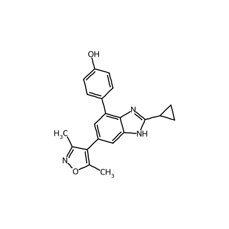 Cc1noc(C)c1-c1cc(-c2ccc(O)cc2)c2nc(C3CC3)[nH]c2c1